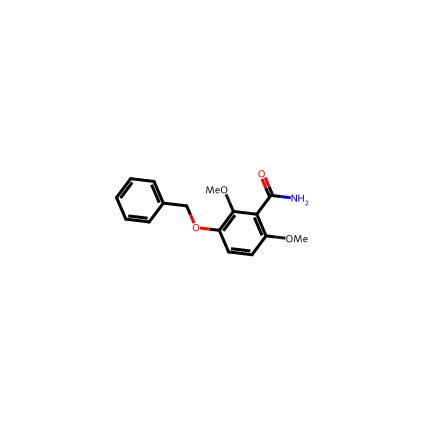 COc1ccc(OCc2ccccc2)c(OC)c1C(N)=O